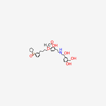 CC(=O)O.[O-][S+](c1cccc(CCCCOc2ccc(CCNC[C@H](O)c3ccc(O)c(CO)c3)cc2)c1)C1CCCC1